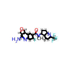 CN(C(=O)c1cc2c3c(c(N)nc2cc1F)COC3)[C@H]1CCc2nc(C(F)(F)F)ccc21